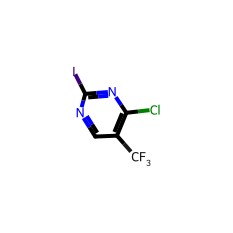 FC(F)(F)c1cnc(I)nc1Cl